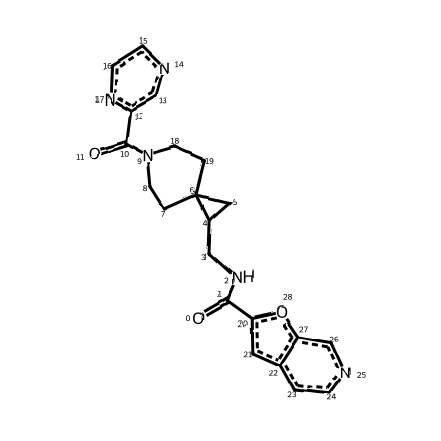 O=C(NCC1CC12CCN(C(=O)c1cnccn1)CC2)c1cc2ccncc2o1